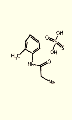 Cc1ccccc1NC(=O)[CH2][Na].O=S(O)(O)=S